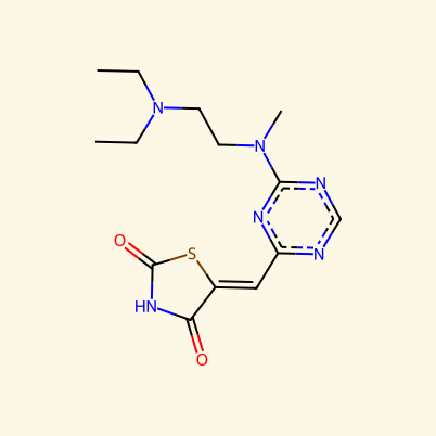 CCN(CC)CCN(C)c1ncnc(/C=C2\SC(=O)NC2=O)n1